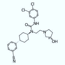 N#Cc1cccc([C@H]2CC[C@H](N(CCN3CC[C@@H](O)C3)C(=O)Nc3ccc(Cl)c(Cl)c3)CC2)c1